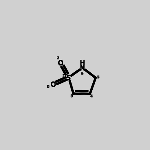 O=S1(=O)C=C[CH]N1